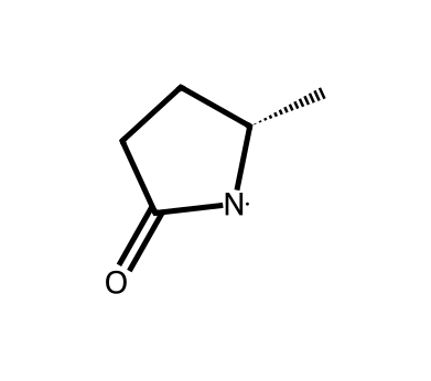 C[C@H]1CCC(=O)[N]1